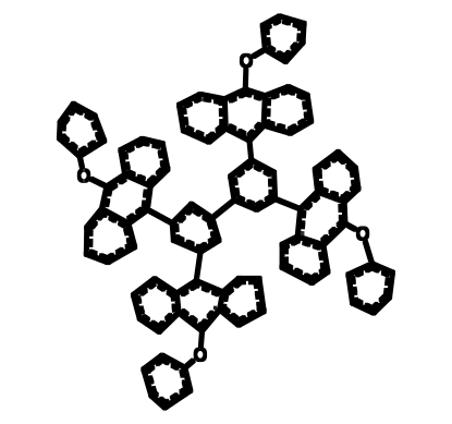 c1ccc(Oc2c3ccccc3c(-c3cc(-c4cc(-c5c6ccccc6c(Oc6ccccc6)c6ccccc56)cc(-c5c6ccccc6c(Oc6ccccc6)c6ccccc56)c4)cc(-c4c5ccccc5c(Oc5ccccc5)c5ccccc45)c3)c3ccccc23)cc1